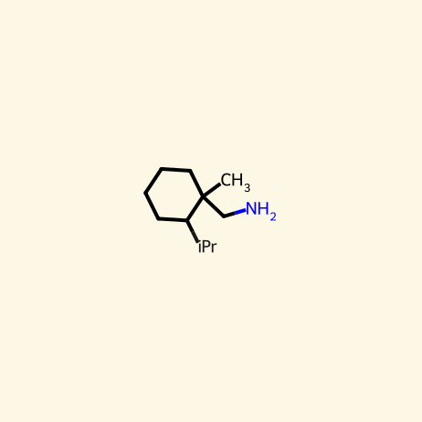 CC(C)C1CCCCC1(C)CN